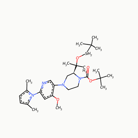 COc1cc(-n2c(C)ccc2C)ncc1N1CCN(C(=O)OC(C)(C)C)[C@H](C(C)(C)O[SiH2]C(C)(C)C)C1